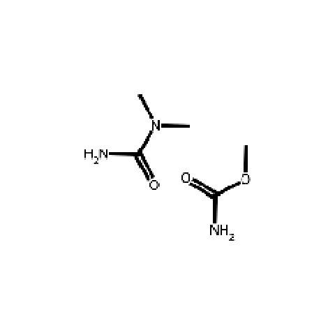 CN(C)C(N)=O.COC(N)=O